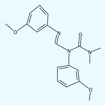 COc1cccc(N=CN(C(=O)N(C)C)c2cccc(OC)c2)c1